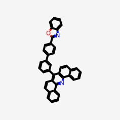 c1cc(-c2ccc(-c3nc4ccccc4o3)cc2)cc(-c2c3ccc4ccccc4c3nc3c2ccc2ccccc23)c1